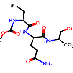 CC(C)C[C@H](NC(=O)OC(C)(C)C)C(=O)N[C@H](CCC(N)=O)C(=O)N[C@@H](CO)C(=O)O